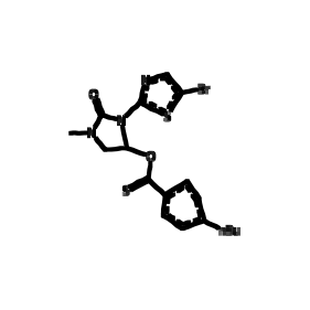 CCCCc1ccc(C(=S)OC2CN(C)C(=O)N2c2ncc(Br)s2)cc1